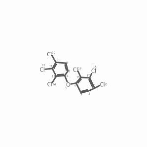 Clc1ccc(Oc2ccc(Cl)c(Cl)c2Cl)c(Cl)c1Cl